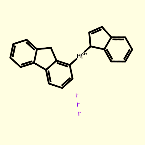 C1=C[CH]([Hf+3][c]2cccc3c2Cc2ccccc2-3)c2ccccc21.[I-].[I-].[I-]